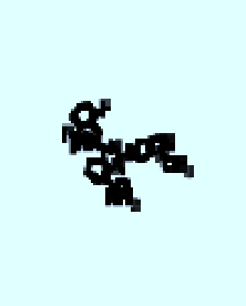 Cn1ncc2c1CN(c1nc(NCc3c(F)cccc3C(F)(F)F)c3cccc(C(N)=O)c3n1)C2